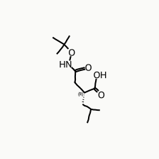 CC(C)C[C@H](CC(=O)NOC(C)(C)C)C(=O)O